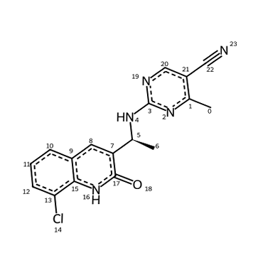 Cc1nc(N[C@@H](C)c2cc3cccc(Cl)c3[nH]c2=O)ncc1C#N